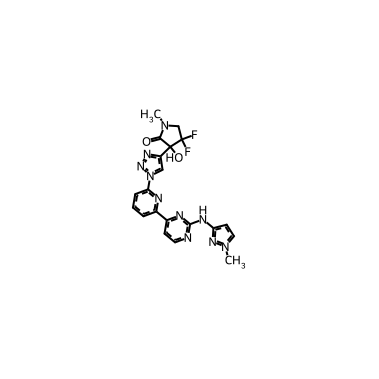 CN1CC(F)(F)C(O)(c2cn(-c3cccc(-c4ccnc(Nc5ccn(C)n5)n4)n3)nn2)C1=O